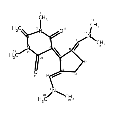 C=c1n(C)c(=O)c(=C2/C(=C/N(C)C)CC/C2=C\N(C)C)c(=O)n1C